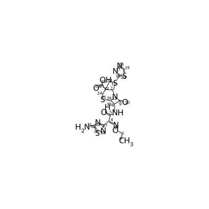 CCON=C(C(=O)NC1C(=O)N2CC(CSc3nncs3)(C(=O)O)CS[C@H]12)c1nsc(N)n1